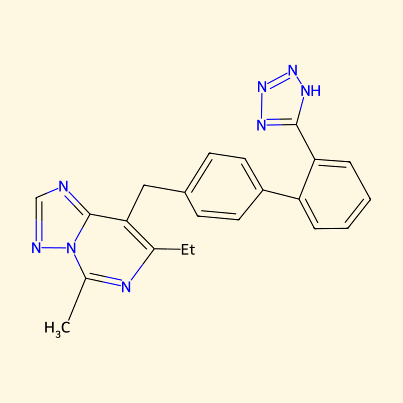 CCc1nc(C)n2ncnc2c1Cc1ccc(-c2ccccc2-c2nnn[nH]2)cc1